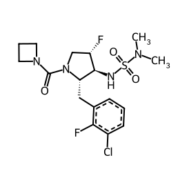 CN(C)S(=O)(=O)N[C@@H]1[C@@H](F)CN(C(=O)N2CCC2)[C@H]1Cc1cccc(Cl)c1F